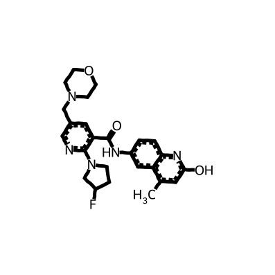 Cc1cc(O)nc2ccc(NC(=O)c3cc(CN4CCOCC4)cnc3N3CCC(F)C3)cc12